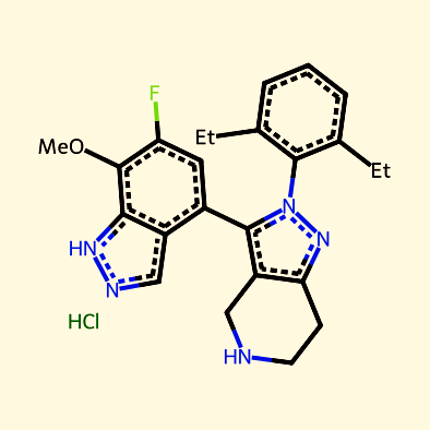 CCc1cccc(CC)c1-n1nc2c(c1-c1cc(F)c(OC)c3[nH]ncc13)CNCC2.Cl